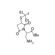 CCC(I)(CC)SC1CC(=O)N(C(CN)C(=O)C(C)(C)C)C1=O